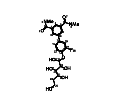 CNC(=O)c1cc(C(=O)NC)cc(-c2ccc(OC(O)C(O)C(O)C(O)CCO)c(F)c2)c1